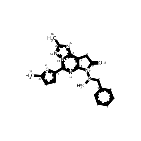 CB(Cc1ccccc1)N1C(=O)Cc2c1nc(-c1ccc(C)o1)n1nc(C)nc21